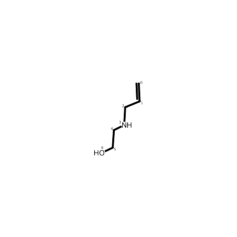 C=C[CH]NCCO